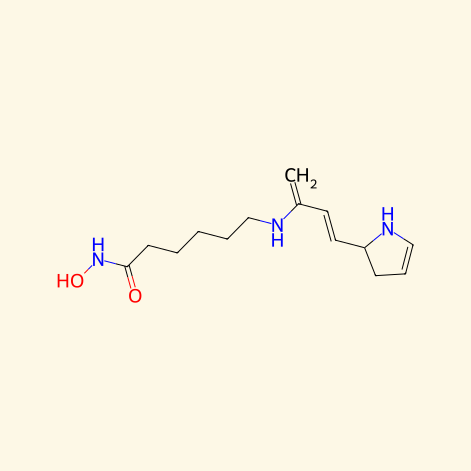 C=C(/C=C/C1CC=CN1)NCCCCCC(=O)NO